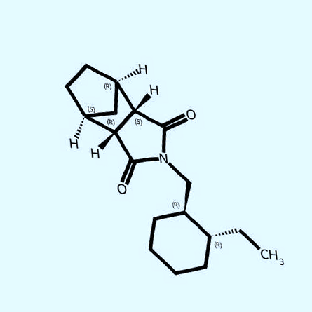 CC[C@@H]1CCCC[C@H]1CN1C(=O)[C@@H]2[C@H]3CC[C@H](C3)[C@@H]2C1=O